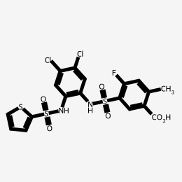 Cc1cc(F)c(S(=O)(=O)Nc2cc(Cl)c(Cl)cc2NS(=O)(=O)c2cccs2)cc1C(=O)O